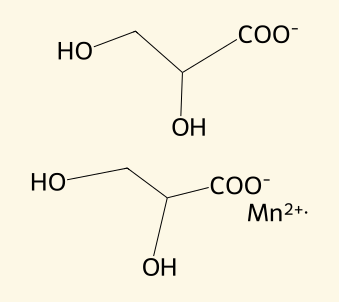 O=C([O-])C(O)CO.O=C([O-])C(O)CO.[Mn+2]